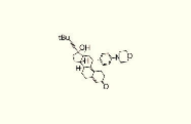 CC(C)(C)C#C[C@]1(O)CC[C@H]2[C@@H]3CCC4=CC(=O)CCC4=C3[C@@H](c3ccc(N4CCOCC4)cc3)C[C@@]21C